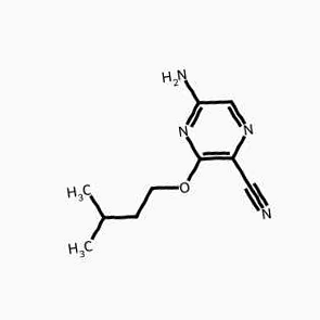 CC(C)CCOc1nc(N)cnc1C#N